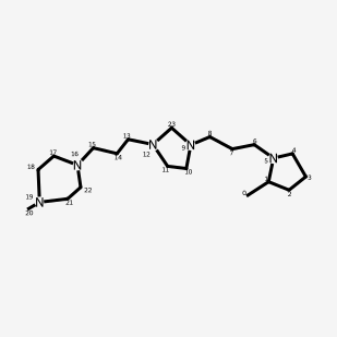 CC1CCCN1CCCN1CCN(CCCN2CCN(C)CC2)C1